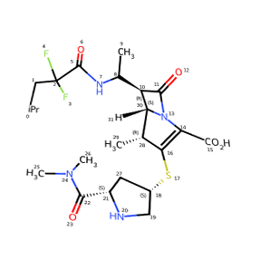 CC(C)CC(F)(F)C(=O)NC(C)[C@H]1C(=O)N2C(C(=O)O)=C(S[C@@H]3CN[C@H](C(=O)N(C)C)C3)[C@H](C)[C@H]12